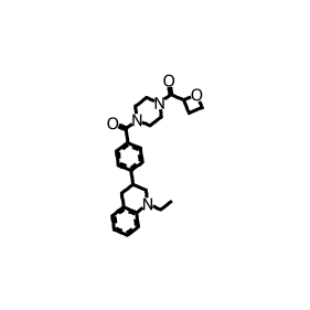 CCN1CC(c2ccc(C(=O)N3CCN(C(=O)C4CCO4)CC3)cc2)Cc2ccccc21